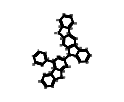 c1ccc(-c2nc(-n3c4ccccc4c4cc5c(cc43)sc3ccccc35)nc3sc4ccccc4c23)cc1